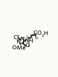 COC(=O)c1cnc(Cl)nc1NCCC[C@H](C)C(=O)O